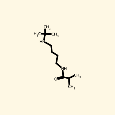 CC(C)C(=O)NCCCCNC(C)(C)C